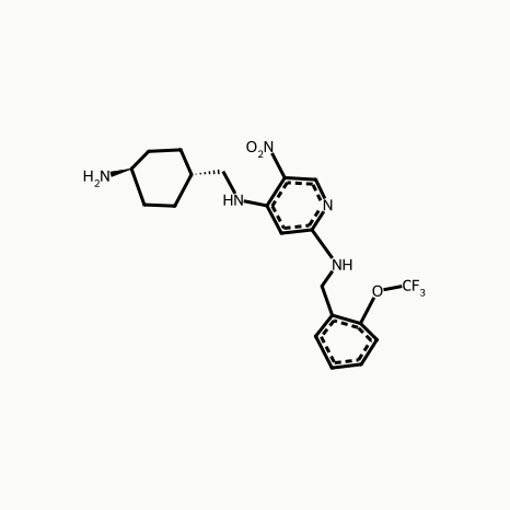 N[C@H]1CC[C@H](CNc2cc(NCc3ccccc3OC(F)(F)F)ncc2[N+](=O)[O-])CC1